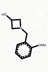 COc1ccccc1CN1CC(O)C1